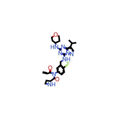 C=CC(=O)N(C(=O)C1CCN1)c1ccc(F)c(CNc2nc(NC3CCOCC3)nc3c(C(C)C)cnn23)c1